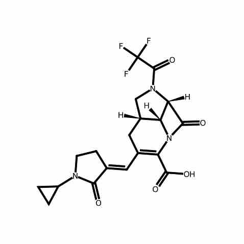 O=C(O)C1=C(/C=C2\CCN(C3CC3)C2=O)C[C@@H]2CN(C(=O)C(F)(F)F)[C@@H]3C(=O)N1[C@H]23